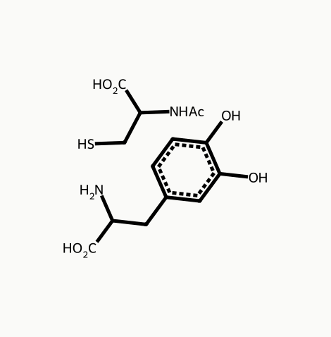 CC(=O)NC(CS)C(=O)O.NC(Cc1ccc(O)c(O)c1)C(=O)O